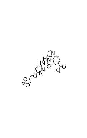 COC(=O)c1ccc2c(n1)N(C(=O)Nc1ccc(OCC3COC(C)(C)O3)nn1)[C@H]1CCN2C1